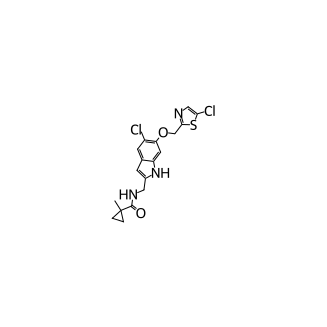 CC1(C(=O)NCc2cc3cc(Cl)c(OCc4ncc(Cl)s4)cc3[nH]2)CC1